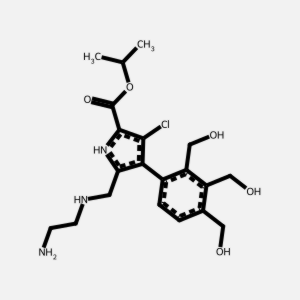 CC(C)OC(=O)c1[nH]c(CNCCN)c(-c2ccc(CO)c(CO)c2CO)c1Cl